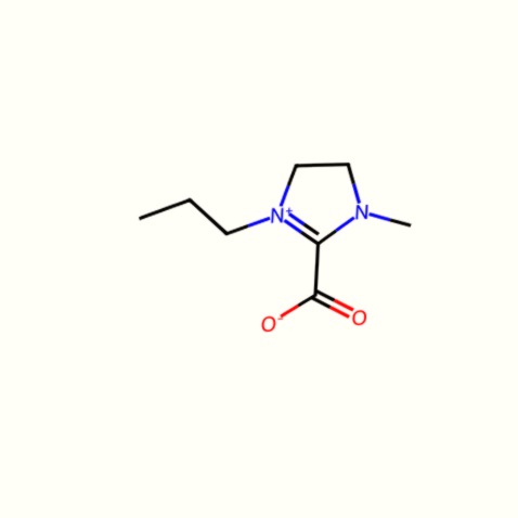 CCC[N+]1=C(C(=O)[O-])N(C)CC1